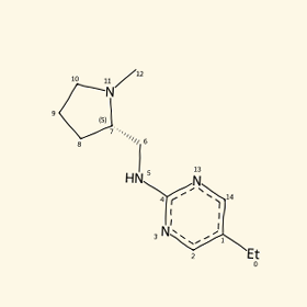 CCc1cnc(NC[C@@H]2CCCN2C)nc1